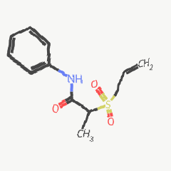 C=CCS(=O)(=O)C(C)C(=O)Nc1ccccc1